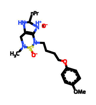 CCCC1NC2=C(N(CCCCOc3ccc(OC)cc3)[S+]([O-])N(C)C2)[NH+]1[O-]